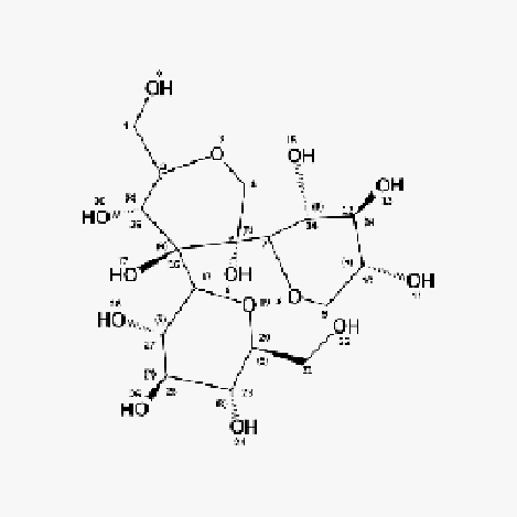 OC[C]1OC[C@@](O)(C2OC[C@@H](O)[C@H](O)[C@H]2O)[C@](O)(C2O[C@@H](CO)[C@H](O)[C@@H](O)[C@@H]2O)[C@@H]1O